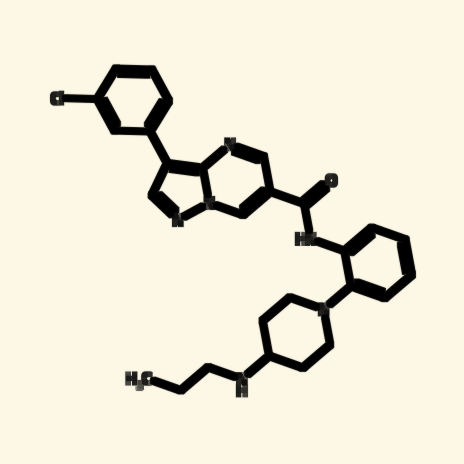 CCCNC1CCN(c2ccccc2NC(=O)c2cnc3c(-c4cccc(Cl)c4)cnn3c2)CC1